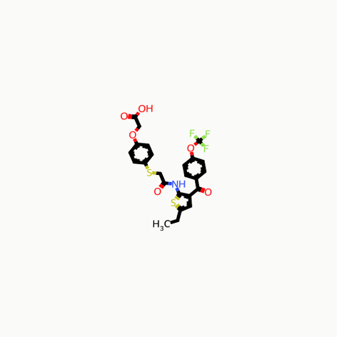 CCc1cc(C(=O)c2ccc(OC(F)(F)F)cc2)c(NC(=O)CSc2ccc(OCC(=O)O)cc2)s1